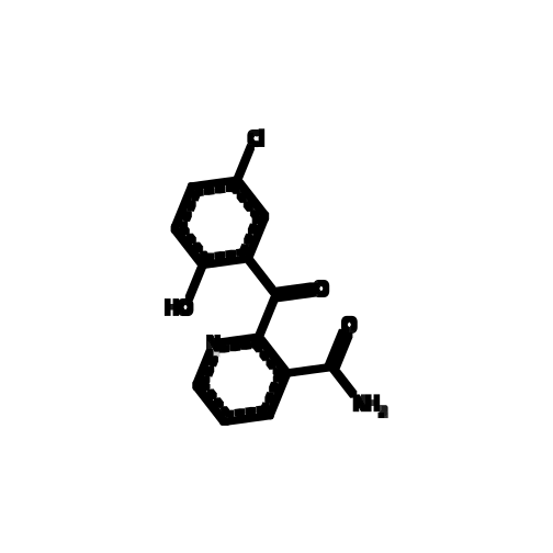 NC(=O)c1cccnc1C(=O)c1cc(Cl)ccc1O